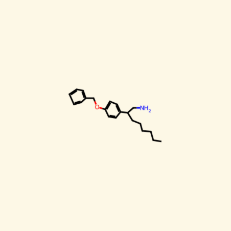 CCCCCCC(CN)c1ccc(OCc2ccccc2)cc1